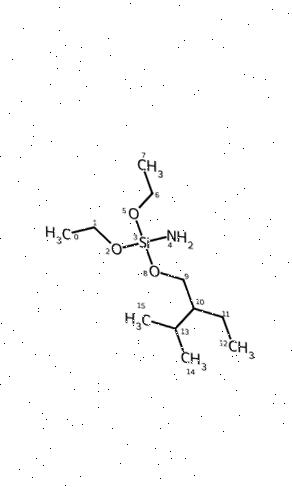 CCO[Si](N)(OCC)OCC(CC)C(C)C